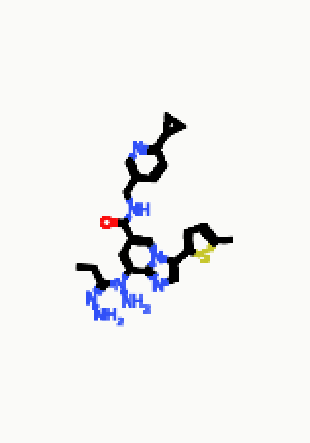 CC/C(=N/N)N(N)c1cc(C(=O)NCc2ccc(C3CC3)nc2)cn2c(-c3ccc(C)s3)cnc12